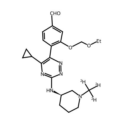 [2H]C([2H])([2H])N1CCC[C@@H](Nc2nnc(-c3ccc(C=O)cc3OCOCC)c(C3CC3)n2)C1